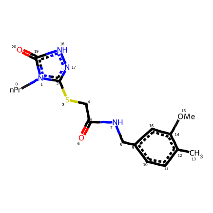 CCCn1c(SCC(=O)NCc2ccc(C)c(OC)c2)n[nH]c1=O